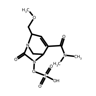 COCC1C=C(C(=O)N(C)C)C2CN1C(=O)N2OS(=O)(=O)O